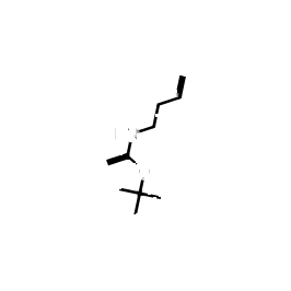 C=CCCNC(=C)OC(C)(C)C